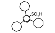 O=S(=O)(O)c1c(C2CCCCCCC2)cc(C2CCCCCCC2)cc1C1CCCCCCC1